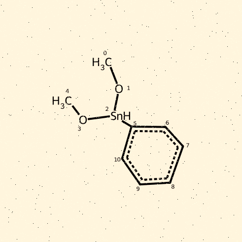 C[O][SnH]([O]C)[c]1ccccc1